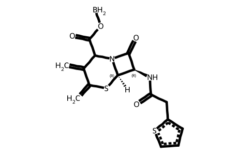 BOC(=O)C1C(=C)C(=C)S[C@@H]2[C@H](NC(=O)Cc3cccs3)C(=O)N12